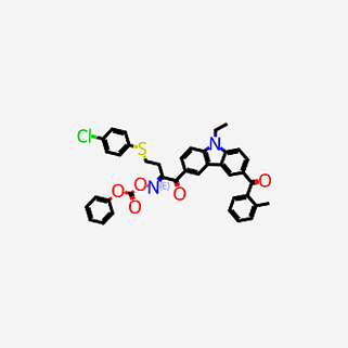 CCn1c2ccc(C(=O)/C(CCSc3ccc(Cl)cc3)=N/OC(=O)Oc3ccccc3)cc2c2cc(C(=O)c3ccccc3C)ccc21